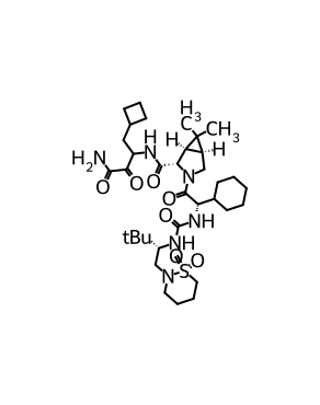 CC(C)(C)[C@@H](CN1CCCCS1(=O)=O)NC(=O)N[C@H](C(=O)N1C[C@H]2[C@@H]([C@H]1C(=O)NC(CC1CCC1)C(=O)C(N)=O)C2(C)C)C1CCCCC1